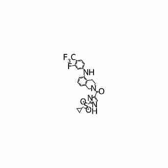 O=C(c1c[nH]c(S(=O)(=O)C2CC2)n1)N1CCc2c(cccc2Nc2ccc(C(F)(F)F)c(F)c2)C1